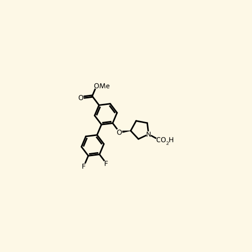 COC(=O)c1ccc(O[C@H]2CCN(C(=O)O)C2)c(-c2ccc(F)c(F)c2)c1